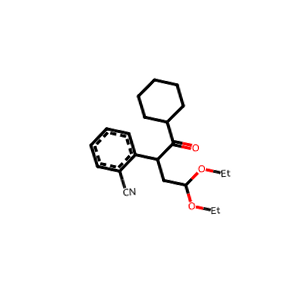 CCOC(CC(C(=O)C1CCCCC1)c1ccccc1C#N)OCC